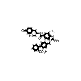 CCCc1nc2c(C)cc(C(=O)N[C@@H](CS)Cc3ccc(Cl)cc3)cc2n1Cc1ccc(-c2ccccc2C(=O)O)cc1